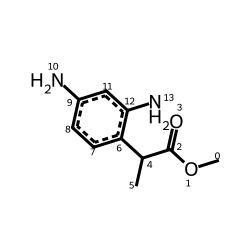 COC(=O)C(C)c1ccc(N)cc1N